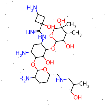 CC(CO)CNC[C@@H]1CCC(N)[C@@H](OC2C(O)C(O[C@H]3OCC(C)(O)[C@H](C)C3O)[C@H](NC(=N)C3(O)CC(N)C3)C[C@@H]2N)O1